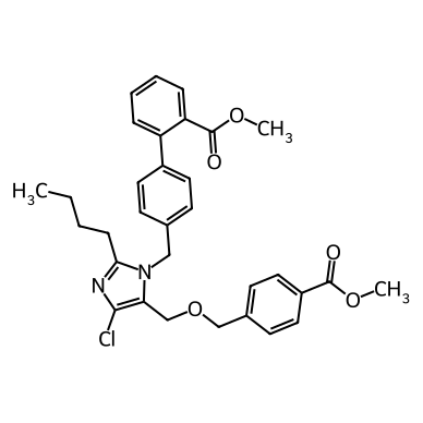 CCCCc1nc(Cl)c(COCc2ccc(C(=O)OC)cc2)n1Cc1ccc(-c2ccccc2C(=O)OC)cc1